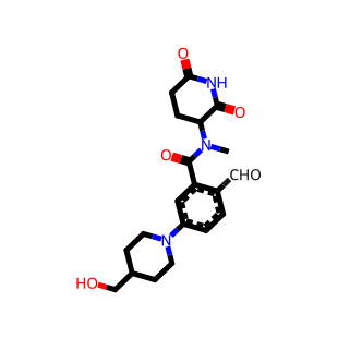 CN(C(=O)c1cc(N2CCC(CO)CC2)ccc1C=O)C1CCC(=O)NC1=O